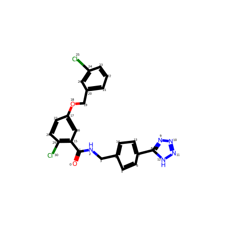 O=C(NCc1ccc(-c2nnn[nH]2)cc1)c1cc(OCc2cccc(Cl)c2)ccc1Cl